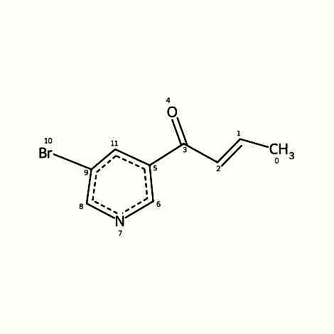 C/C=C/C(=O)c1cncc(Br)c1